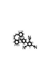 N#Cc1cc(C#N)c(-c2ccc(N3c4ccccc4CCCc4ccccc43)cc2)c(C#N)c1